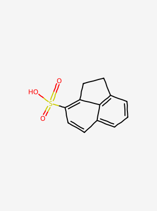 O=S(=O)(O)c1ccc2cccc3c2c1CC3